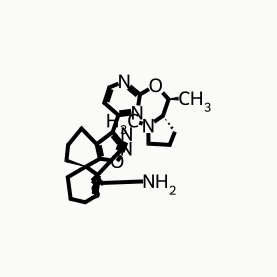 C[C@H](Oc1nccc(-c2noc3c2CCC[C@@]32CCCc3sc(N)c(C#N)c32)n1)[C@@H]1CCCN1C